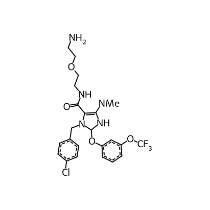 CNC1=C(C(=O)NCCOCCN)N(Cc2ccc(Cl)cc2)C(Oc2cccc(OC(F)(F)F)c2)N1